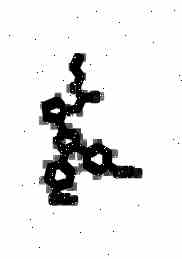 C=CCOC(=O)Cn1cccc1-c1nc(-c2ccc(OC)cc2)c(-c2ccc(OC)cc2)s1